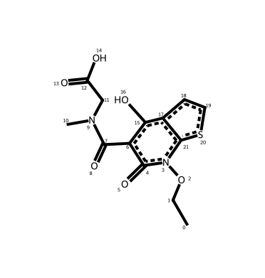 CCOn1c(=O)c(C(=O)N(C)CC(=O)O)c(O)c2ccsc21